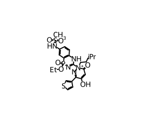 CCOP1(=O)N=C([N+]2(CCC(C)C)N=C(c3ccsc3)C(O)=CC2=O)Nc2ccc(NS(C)(=O)=O)cc21